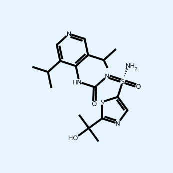 CC(C)c1cncc(C(C)C)c1NC(=O)N=[S@@](N)(=O)c1cnc(C(C)(C)O)s1